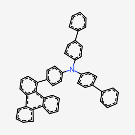 c1ccc(-c2ccc(N(c3ccc(-c4ccccc4)cc3)c3ccc(-c4cccc5c6ccccc6c6ccccc6c45)cc3)cc2)cc1